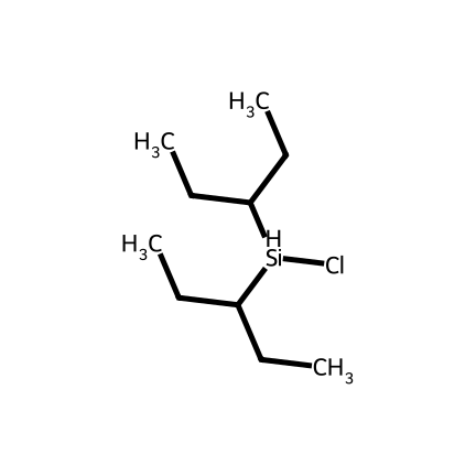 CCC(CC)[SiH](Cl)C(CC)CC